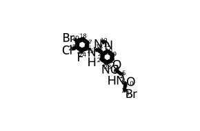 O=C(CBr)NCCOc1cc2ncnc(Nc3ccc(Br)c(Cl)c3F)c2cc1[N+](=O)[O-]